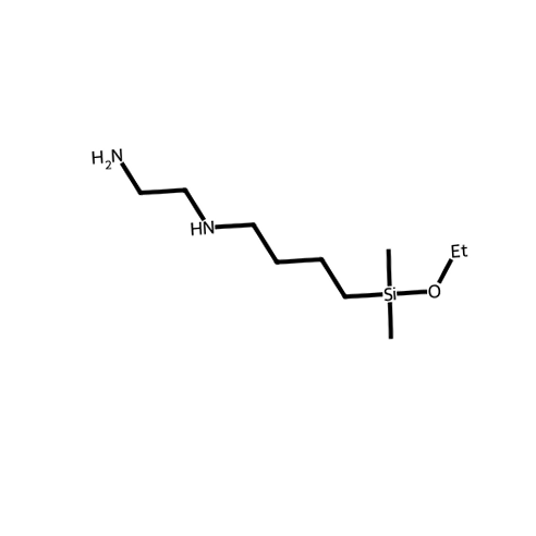 CCO[Si](C)(C)CCCCNCCN